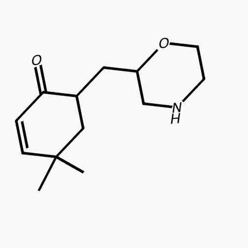 CC1(C)C=CC(=O)C(CC2CNCCO2)C1